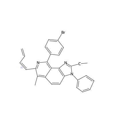 C=C/C=C\c1nc(-c2ccc(Br)cc2)c2c(ccc3c2nc(CC)n3-c2ccccc2)c1C